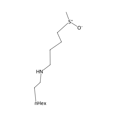 CCCCCCCCNCCCC[S+](C)[O-]